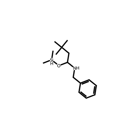 C[SiH](C)OC(CC(C)(C)C)NCc1ccccc1